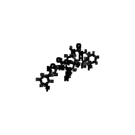 CN(C(=O)NCc1cccc(F)c1CI)[C@H](COC(=O)Nc1cc(-c2cccc(F)c2)no1)CC(F)(F)CN=[N+]=[N-]